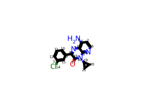 Nc1ccnc2c1nc(-c1cccc(Cl)c1)c(=O)n2C1CC1